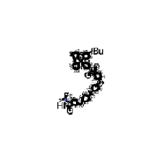 CC/C(C)=C1/NC(=O)c2cc(Cc3ccc(C(C)(C)C4C=CC(Oc5ccc6c(c5)C(=O)N(c5ccc(C7(c8ccc(C(C)CC)cc8)c8ccccc8-c8ccccc87)cc5)C6=O)=CC4)cc3)ccc21